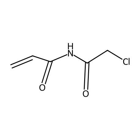 C=CC(=O)NC(=O)CCl